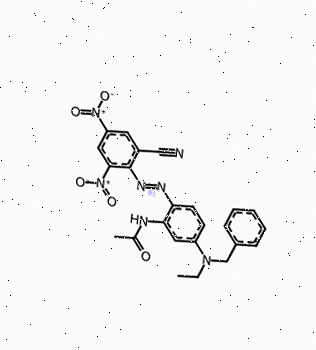 CCN(Cc1ccccc1)c1ccc(/N=N/c2c(C#N)cc([N+](=O)[O-])cc2[N+](=O)[O-])c(NC(C)=O)c1